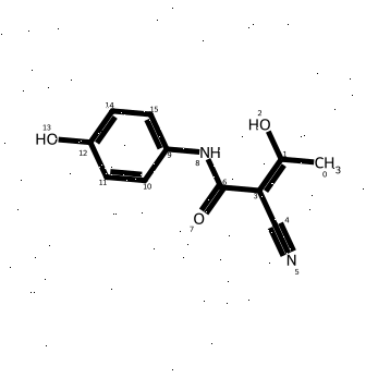 CC(O)=C(C#N)C(=O)Nc1ccc(O)cc1